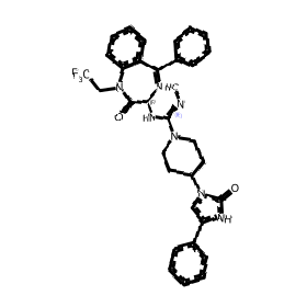 N#C/N=C(\N[C@@H]1N=C(c2ccccc2)c2ccccc2N(CC(F)(F)F)C1=O)N1CCC(n2cc(-c3ccccc3)[nH]c2=O)CC1